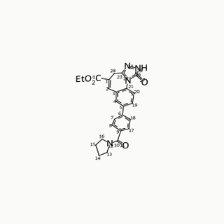 CCOC(=O)C1=Cc2cc(-c3ccc(C(=O)N4CCCC4)cc3)ccc2-n2c(n[nH]c2=O)C1